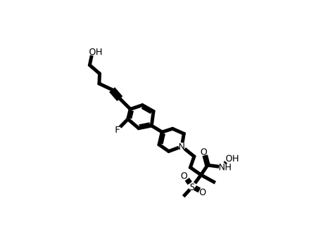 CC(CCN1CC=C(c2ccc(C#CCCCO)c(F)c2)CC1)(C(=O)NO)S(C)(=O)=O